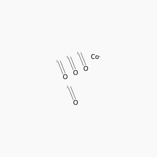 [C]=O.[C]=O.[C]=O.[C]=O.[Co]